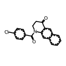 O=C1CCN(C(=O)c2ccc(Cl)cc2)c2cc3ccccc3cc21